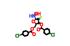 O=C(OCC1OC(NO)[C@@H](F)[C@@H]1OC(=O)c1ccc(Cl)cc1)c1ccc(Cl)cc1